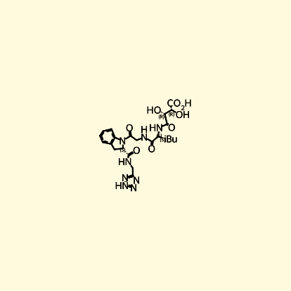 CC[C@H](C)[C@H](NC(=O)[C@H](O)[C@@H](O)C(=O)O)C(=O)NCC(=O)N1c2ccccc2C[C@H]1C(=O)NCc1nn[nH]n1